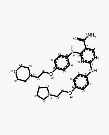 NC(=O)c1cnc(Nc2ccc(OCCN3CCCC3)cc2)nc1Nc1ccc(OCCN2CCOCC2)cc1